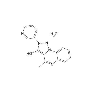 CC1=Nc2ccccc2N2[N]N(c3cccnc3)C(O)=C12.O